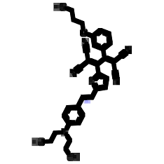 N#CC(C#N)=C(C(=C(C#N)C#N)c1ccc(/C=C/c2ccc(N(CCO)CCO)cc2)s1)c1cccc(OCCCO)c1